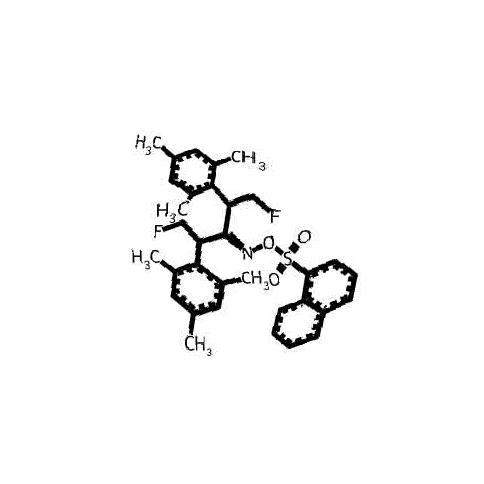 Cc1cc(C)c(C(CF)C(=NOS(=O)(=O)c2cccc3ccccc23)C(CF)c2c(C)cc(C)cc2C)c(C)c1